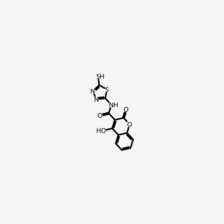 O=C(Nc1nnc(S)s1)c1c(O)c2ccccc2oc1=O